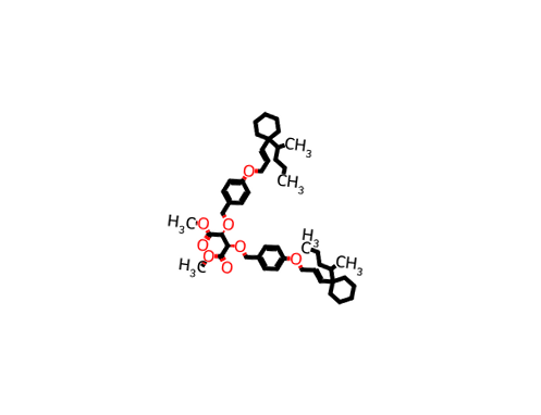 CCCC(C)C1(/C=C/COc2ccc(CO[C@@H](C(=O)OC)[C@@H](OCc3ccc(OC/C=C/C4(C(C)CCC)CCCCC4)cc3)C(=O)OC)cc2)CCCCC1